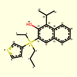 CCCS(CC)(c1ccsc1)c1cc2ccccc2c(C(C)C)c1O